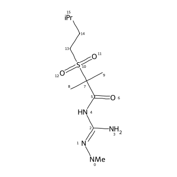 CN/N=C(\N)NC(=O)C(C)(C)S(=O)(=O)CCC(C)C